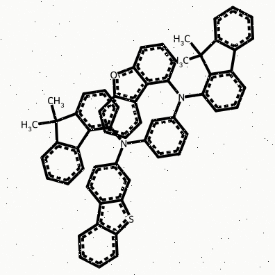 CC1(C)c2ccccc2-c2c(N(c3cccc(N(c4cccc5c4C(C)(C)c4ccccc4-5)c4cccc5oc6ccccc6c45)c3)c3ccc4c(c3)sc3ccccc34)cccc21